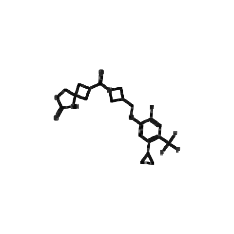 O=C1NC2(CO1)CC(C(=O)N1CC(COc3cc(C4CC4)c(C(F)(F)F)cc3F)C1)C2